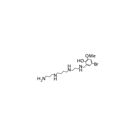 COc1cc(Br)cc(CNCCCNCCCCNCCCN)c1O